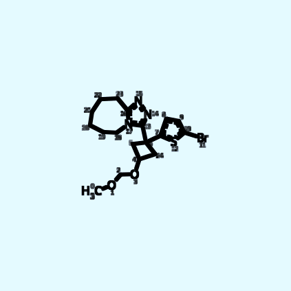 COCOC1CC(c2ccc(Br)s2)(c2nnc3n2CCCCCC3)C1